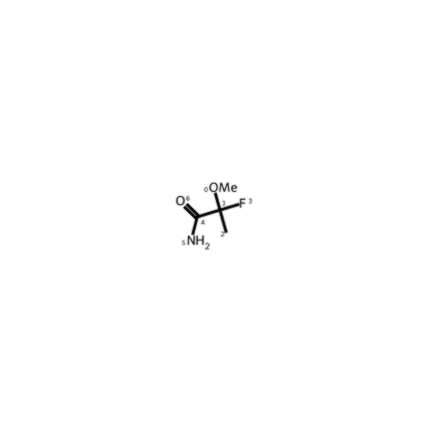 COC(C)(F)C(N)=O